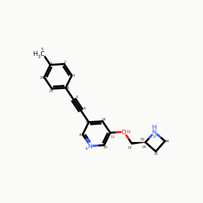 Cc1ccc(C#Cc2cncc(OC[C@@H]3CCN3)c2)cc1